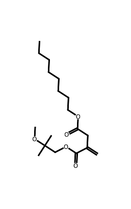 C=C(CC(=O)OCCCCCCCC)C(=O)OCC(C)(C)OC